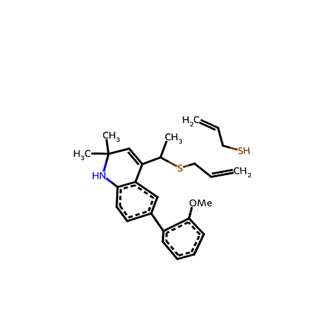 C=CCS.C=CCSC(C)C1=CC(C)(C)Nc2ccc(-c3ccccc3OC)cc21